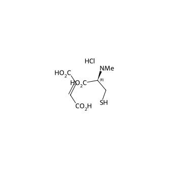 CN[C@@H](CS)C(=O)O.Cl.O=C(O)C=CC(=O)O